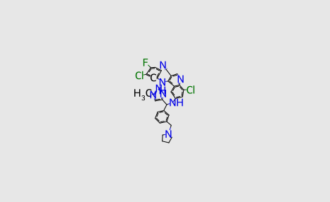 Cn1cc(C(Nc2cc(Cl)c3ncc(C#N)c(Nc4ccc(F)c(Cl)c4)c3c2)c2cccc(CN3CCCC3)c2)nn1